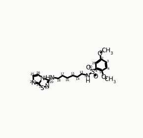 COc1ccc(OC)c(S(=O)(=O)NCCCCCCNc2nsc3nccn23)c1